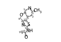 Cc1cc2c(cn1)OCc1nc(NC(=O)I)sc1-2